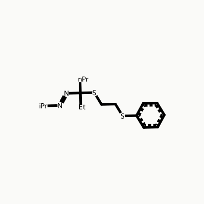 CCCC(CC)(N=NC(C)C)SCCSc1ccccc1